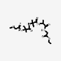 CCOC(=O)CNC(=O)C(C)NC(=O)C(C)(C)NC(=O)C(C)(C)NC(=O)CNC